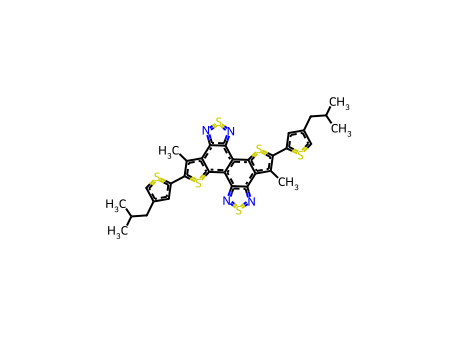 Cc1c(-c2cc(CC(C)C)cs2)sc2c1c1nsnc1c1c3sc(-c4cc(CC(C)C)cs4)c(C)c3c3nsnc3c21